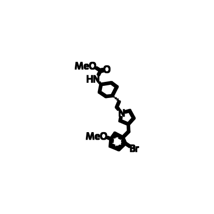 COC(=O)N[C@H]1CC[C@H](CCN2CCC(Cc3cc(OC)ccc3Br)C2)CC1